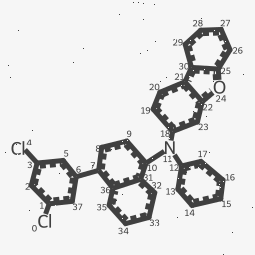 Clc1cc(Cl)cc(-c2ccc(N(c3ccccc3)c3ccc4c(c3)oc3ccccc34)c3ccccc23)c1